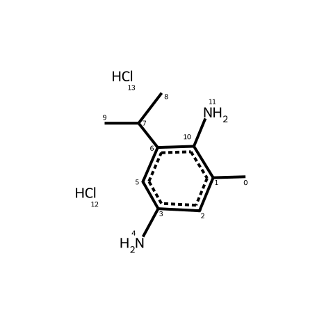 Cc1cc(N)cc(C(C)C)c1N.Cl.Cl